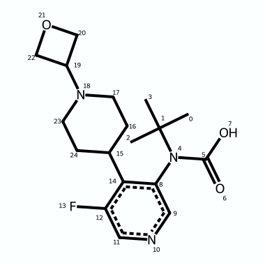 CC(C)(C)N(C(=O)O)c1cncc(F)c1C1CCN(C2COC2)CC1